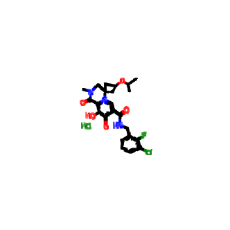 CC(C)O[C@H]1C[C@@]2(CN(C)C(=O)c3c(O)c(=O)c(C(=O)NCc4cccc(Cl)c4F)cn32)C1.Cl